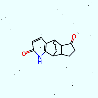 O=C1CCC2C3CCC(c4ccc(=O)[nH]c43)C12